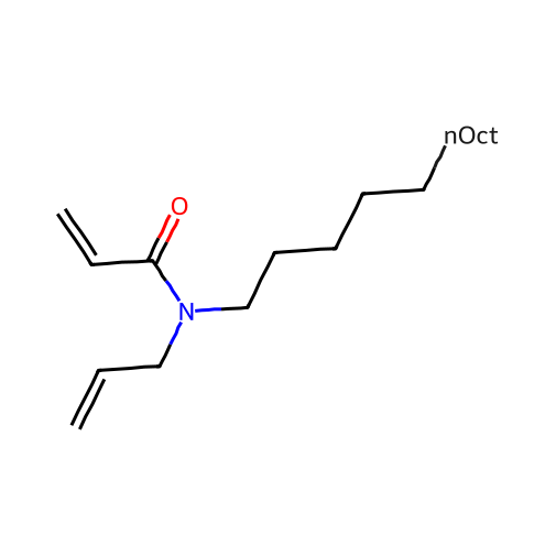 C=CCN(CCCCCCCCCCCCC)C(=O)C=C